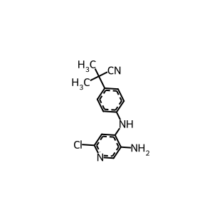 CC(C)(C#N)c1ccc(Nc2cc(Cl)ncc2N)cc1